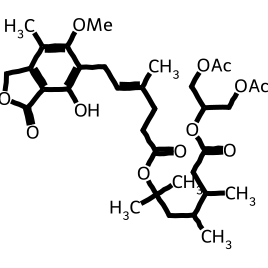 COc1c(C)c2c(c(O)c1C/C=C(\C)CCC(=O)OC(C)(C)CC(C)C(C)CC(=O)OC(COC(C)=O)COC(C)=O)C(=O)OC2